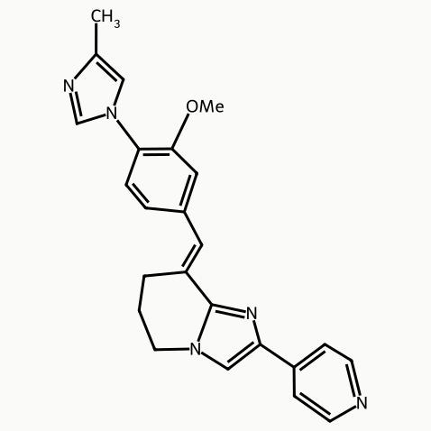 COc1cc(C=C2CCCn3cc(-c4ccncc4)nc32)ccc1-n1cnc(C)c1